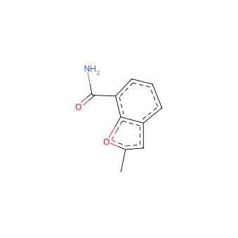 Cc1cc2cccc(C(N)=O)c2o1